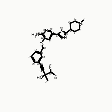 CN1CCC(c2ncc(-c3cnc(N)c(OCc4cccc(C#CC(C)(O)C(F)F)c4)c3)s2)CC1